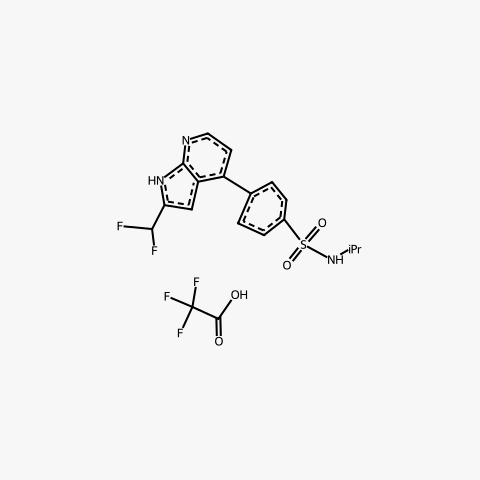 CC(C)NS(=O)(=O)c1ccc(-c2ccnc3[nH]c(C(F)F)cc23)cc1.O=C(O)C(F)(F)F